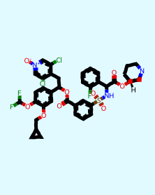 O=C(OC(Cc1c(Cl)c[n+]([O-])cc1Cl)c1ccc(OC(F)F)c(OCC2CC2)c1)c1cccc(S(=O)(=O)NC(C(=O)O[C@H]2CN3CCC2CC3)c2ccccc2F)c1